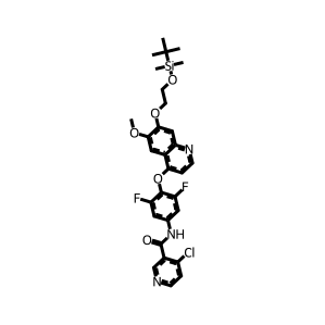 COc1cc2c(Oc3c(F)cc(NC(=O)c4cnccc4Cl)cc3F)ccnc2cc1OCCO[Si](C)(C)C(C)(C)C